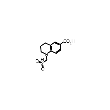 O=C(O)c1ccc2c(c1)CCCN2C[SH](=O)=O